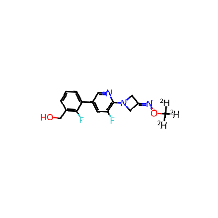 [2H]C([2H])([2H])ON=C1CN(c2ncc(-c3cccc(CO)c3F)cc2F)C1